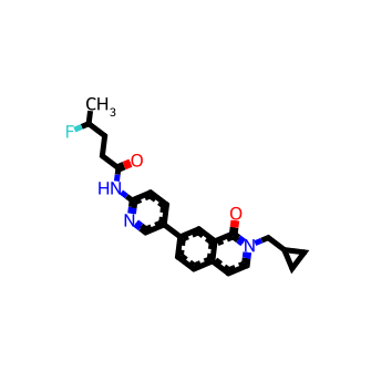 CC(F)CCC(=O)Nc1ccc(-c2ccc3ccn(CC4CC4)c(=O)c3c2)cn1